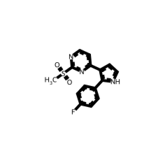 CS(=O)(=O)c1nccc(-c2cc[nH]c2-c2ccc(F)cc2)n1